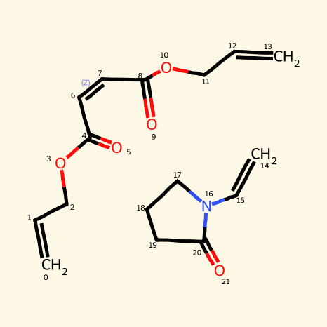 C=CCOC(=O)/C=C\C(=O)OCC=C.C=CN1CCCC1=O